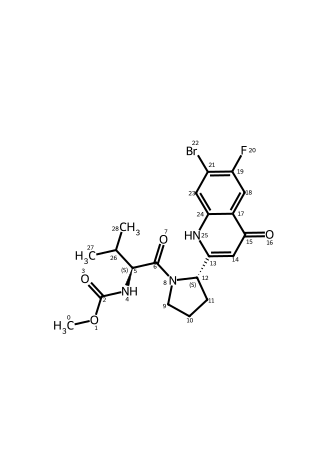 COC(=O)N[C@H](C(=O)N1CCC[C@H]1c1cc(=O)c2cc(F)c(Br)cc2[nH]1)C(C)C